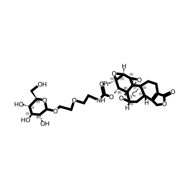 CC(C)[C@]12O[C@H]1[C@@H]1O[C@]13[C@]1(O[C@H]1C[C@H]1C4=C(CC[C@@]13C)C(=O)OC4)[C@@H]2OC(=O)NCCOCCOC1O[C@H](CO)[C@@H](O)[C@H](O)[C@H]1O